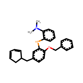 CN(C)c1ccccc1Pc1cc(CC2C=CC=CC2)ccc1OCc1ccccc1